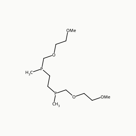 COCCOCP(C)CCP(C)COCCOC